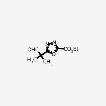 CCOC(=O)c1nnc(C(C)(C)C=O)o1